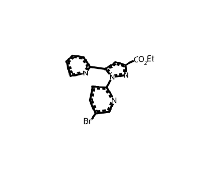 CCOC(=O)c1cc(-c2ccccn2)n(-c2ccc(Br)cn2)n1